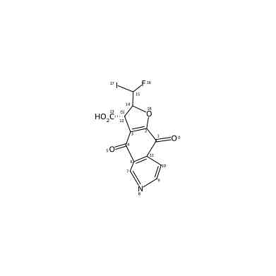 O=C1C2=C(C(=O)c3cnccc31)[C@H](C(=O)O)C(C(F)I)O2